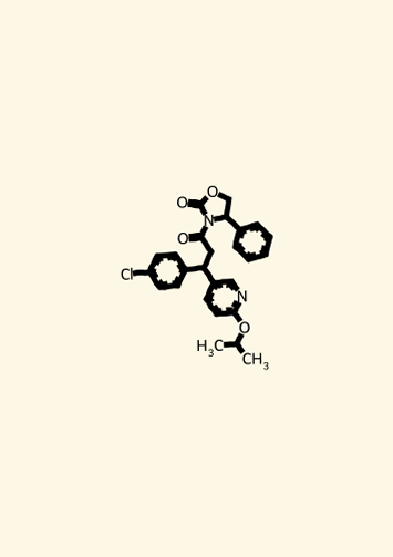 CC(C)Oc1ccc(C(CC(=O)N2C(=O)OCC2c2ccccc2)c2ccc(Cl)cc2)cn1